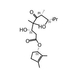 CC1=C(C)[C@@H](OC(=O)C[C@H](O)C(C)(C)C(=O)[C@H](C)[C@@H](O)C(C)C)CC1